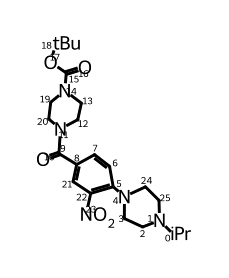 CC(C)N1CCN(c2ccc(C(=O)N3CCN(C(=O)OC(C)(C)C)CC3)cc2[N+](=O)[O-])CC1